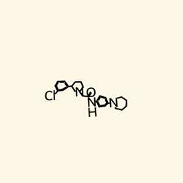 O=C(CN1CCCC(c2cccc(Cl)c2)C1)Nc1ccc(N2CCCCCC2)cc1